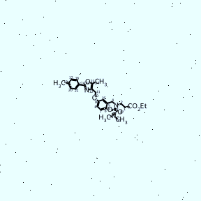 CCOC(=O)CCN(Cc1cccc(OCc2nc(-c3ccc(C)cc3)oc2C)c1)S(=O)(=O)N(C)C